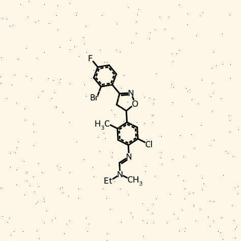 CCN(C)C=Nc1cc(C)c(C2CC(c3ccc(F)cc3Br)=NO2)cc1Cl